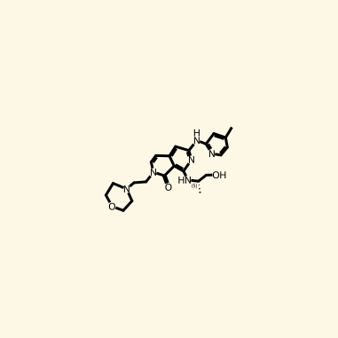 Cc1ccnc(Nc2cc3ccn(CCN4CCOCC4)c(=O)c3c(N[C@@H](C)CO)n2)c1